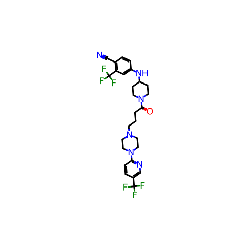 N#Cc1ccc(NC2CCN(C(=O)CCCN3CCN(c4ccc(C(F)(F)F)cn4)CC3)CC2)cc1C(F)(F)F